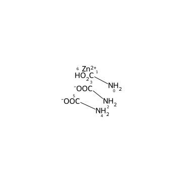 NC(=O)O.NC(=O)[O-].NC(=O)[O-].[Zn+2]